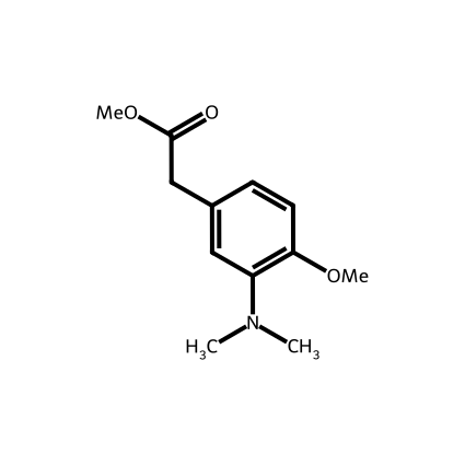 COC(=O)Cc1ccc(OC)c(N(C)C)c1